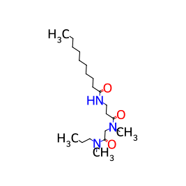 CCCCCCCCCC(=O)NCCC(=O)N(C)CC(=O)N(C)CCC